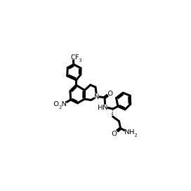 NC(=O)CC[C@H](NC(=O)N1CCc2c(cc([N+](=O)[O-])cc2-c2ccc(C(F)(F)F)cc2)C1)c1ccccc1